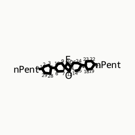 CCCCCC1CCC(C2CC[C@]3(CC2)C(=O)[C@@]2(CCC(C4CCC(CCCCC)CC4)CC2)[C@H]3F)CC1